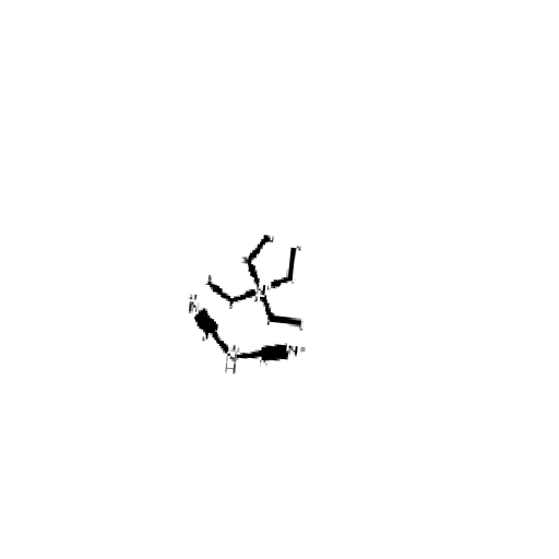 CC[N+](CC)(CC)CC.N#CNC#N